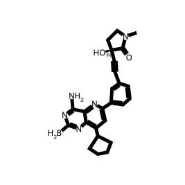 Bc1nc(N)c2nc(-c3cccc(C#C[C@]4(O)CCN(C)C4=O)c3)cc(C3CCCC3)c2n1